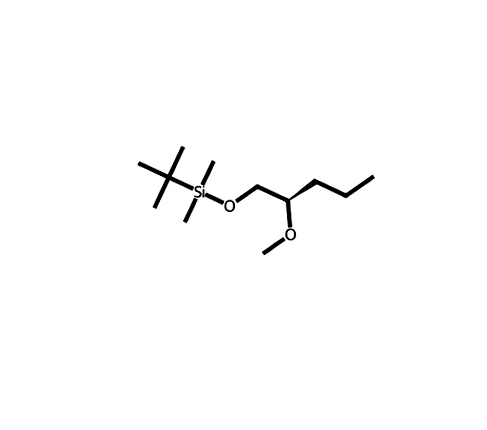 CCC[C@H](CO[Si](C)(C)C(C)(C)C)OC